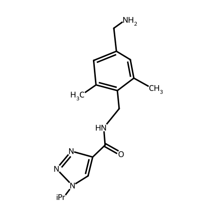 Cc1cc(CN)cc(C)c1CNC(=O)c1cn(C(C)C)nn1